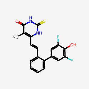 N#Cc1c(C=Cc2ccccc2-c2cc(F)c(O)c(F)c2)[nH]c(=S)[nH]c1=O